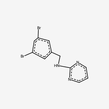 Brc1cc(Br)cc(CNc2ncccn2)c1